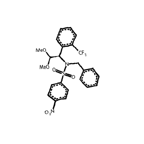 COC(OC)[C@@H](c1ccccc1C(F)(F)F)N(Cc1ccccc1)S(=O)(=O)c1ccc([N+](=O)[O-])cc1